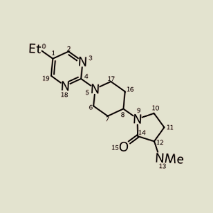 CCc1cnc(N2CCC(N3CCC(NC)C3=O)CC2)nc1